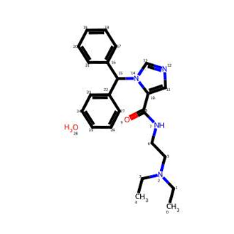 CCN(CC)CCNC(=O)c1cncn1C(c1ccccc1)c1ccccc1.O